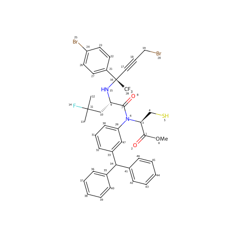 COC(=O)[C@H](CS)N(C(=O)[C@H](CC(C)(C)F)N[C@@](C#CCBr)(c1ccc(Br)cc1)C(F)(F)F)c1cccc(C(c2ccccc2)c2ccccc2)c1